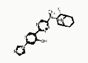 CN(c1cnc(-c2cnc(-n3ccnc3)cc2O)nn1)[C@@H]1CC2CCCC(N2)[C@H]1F